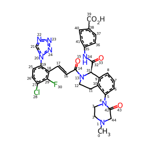 CN1CCN(c2cccc3c2CCN(C(=O)/C=C/c2c(-n4cnnn4)ccc(Cl)c2F)[C@H]3C(=O)Nc2ccc(C(=O)O)cc2)C(=O)C1